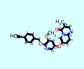 C#Cc1ccc(COc2ncc(Oc3ccc4ncc(C)c(=O)n4c3)cc2OC)cc1